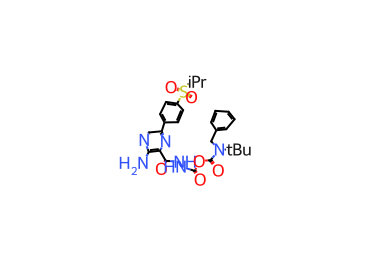 CC(C)S(=O)(=O)c1ccc(-c2cnc(N)c(C(=O)NNC(=O)OC(=O)N(Cc3ccccc3)C(C)(C)C)n2)cc1